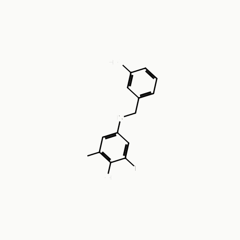 Cc1cccc(CNc2cc(F)c(O)c(F)c2)c1